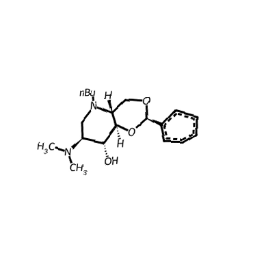 CCCCN1C[C@H](N(C)C)[C@@H](O)[C@@H]2O[C@H](c3ccccc3)OC[C@H]21